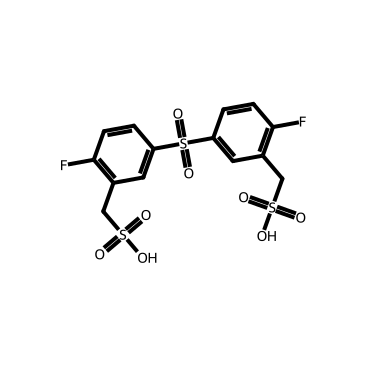 O=S(=O)(O)Cc1cc(S(=O)(=O)c2ccc(F)c(CS(=O)(=O)O)c2)ccc1F